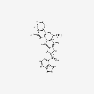 Cc1c(-c2c(C)c3c(c(C)c2CC(=O)O)CN(C(=O)c2cccc4c2OCC4)C3)cc(F)c2c1CCCO2